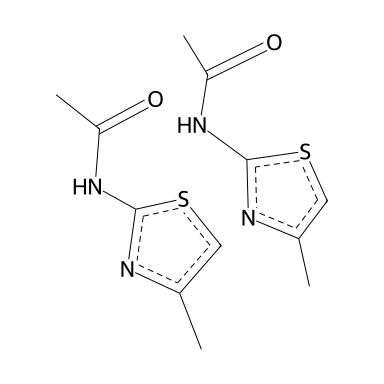 CC(=O)Nc1nc(C)cs1.CC(=O)Nc1nc(C)cs1